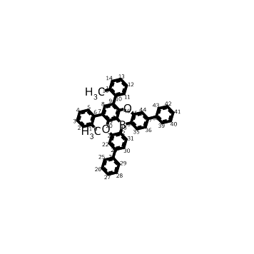 Cc1ccccc1-c1cc(-c2ccccc2C)c2c3c1Oc1cc(-c4ccccc4)ccc1B3c1ccc(-c3ccccc3)cc1O2